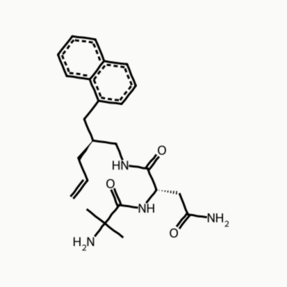 C=CC[C@H](CNC(=O)[C@H](CC(N)=O)NC(=O)C(C)(C)N)Cc1cccc2ccccc12